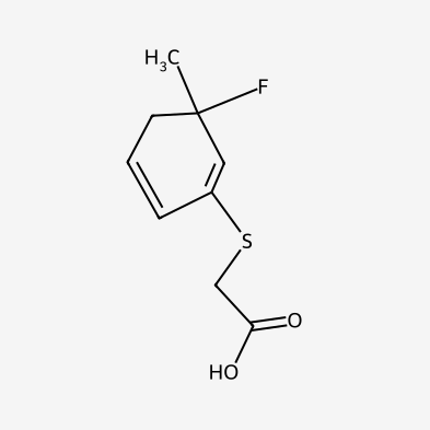 CC1(F)C=C(SCC(=O)O)C=CC1